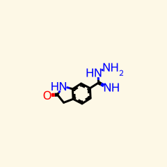 N=C(NN)c1ccc2c(c1)NC(=O)C2